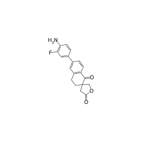 Nc1ccc(-c2ccc3c(c2)CCC2(COC(=O)C2)C3=O)cc1F